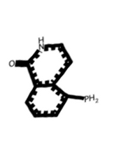 O=c1[nH]ccc2c(P)cccc12